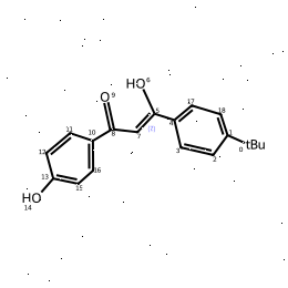 CC(C)(C)c1ccc(/C(O)=C/C(=O)c2ccc(O)cc2)cc1